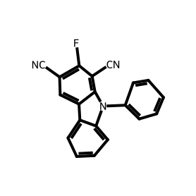 N#Cc1cc2c3ccccc3n(-c3ccccc3)c2c(C#N)c1F